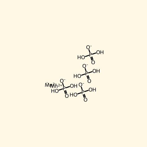 O=P([O-])(O)O.O=P([O-])(O)O.O=P([O-])(O)O.O=P([O-])(O)O.[Mn+2].[Mn+2]